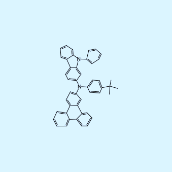 CC(C)(C)c1ccc(N(c2ccc3c4ccccc4c4ccccc4c3c2)c2ccc3c4ccccc4n(-c4ccccc4)c3c2)cc1